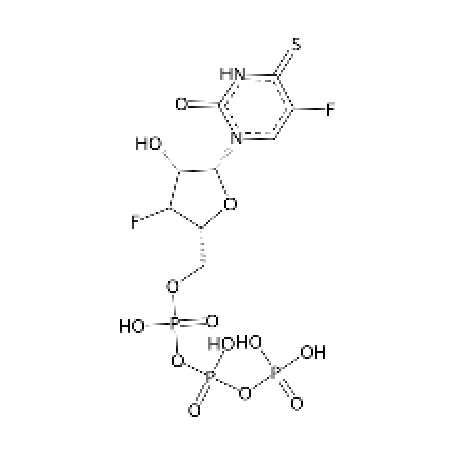 O=c1[nH]c(=S)c(F)cn1[C@@H]1O[C@H](COP(=O)(O)OP(=O)(O)OP(=O)(O)O)C(F)[C@@H]1O